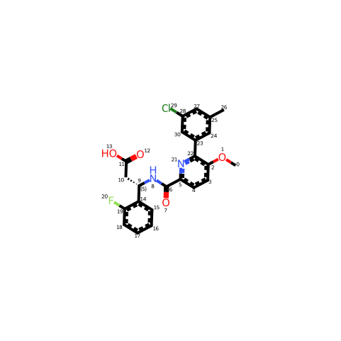 COc1ccc(C(=O)N[C@@H](CC(=O)O)c2ccccc2F)nc1-c1cc(C)cc(Cl)c1